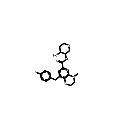 CN1CCOc2c(Cc3ccc(F)cc3)cc(C(=O)NC3COCCC3O)nc21